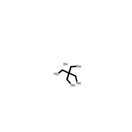 OCC(CO)(CO)CO.[KH]